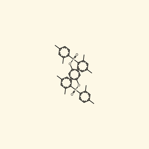 Cc1ccc(P(=O)(Oc2ccc(OP(=O)(c3ccc(C)cc3C)c3ccc(C)cc3C)cc2)c2ccc(C)cc2C)c(C)c1